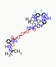 Cc1nc(NC(=O)c2ccccc2NC(=O)CCOCCOCCOCCNC(=O)CN2CCN(Cc3ccc(Nc4ncc(F)c(-c5cc(F)c6nc(C)n(C(C)C)c6c5)n4)nc3)CC2)sc1C